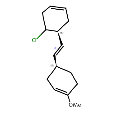 COC1=CC[C@@H](/C=C/[C@@H]2CC=CCC2Cl)CC1